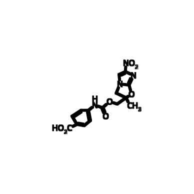 CC1(COC(=O)Nc2ccc(C(=O)O)cc2)Cn2cc([N+](=O)[O-])nc2O1